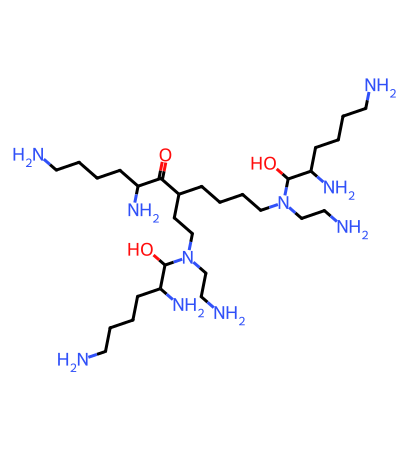 NCCCCC(N)C(=O)C(CCCCN(CCN)C(O)C(N)CCCCN)CCN(CCN)C(O)C(N)CCCCN